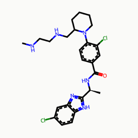 CNCCNCC1CCCCN1c1ccc(C(=O)N[C@@H](C)c2nc3cc(Cl)ccc3[nH]2)cc1Cl